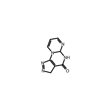 O=C1NC2N=CC=CN2C2=C1CN=N2